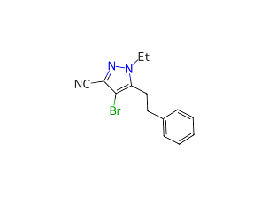 CCn1nc(C#N)c(Br)c1CCc1ccccc1